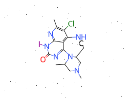 Cc1nc2c3c(nc(=O)n2I)N2C(C)CN(C)CC2CCNc3c1Cl